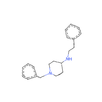 c1ccc(CCNC2CCN(Cc3ccccc3)CC2)cc1